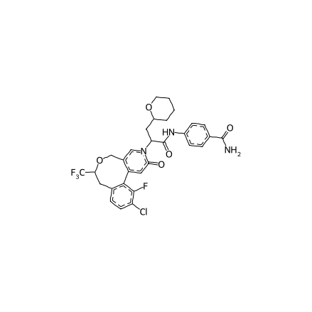 NC(=O)c1ccc(NC(=O)C(CC2CCCCO2)n2cc3c(cc2=O)-c2c(ccc(Cl)c2F)CC(C(F)(F)F)OC3)cc1